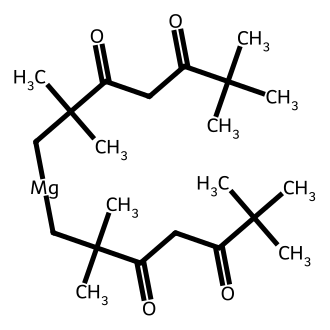 CC(C)(C)C(=O)CC(=O)C(C)(C)[CH2][Mg][CH2]C(C)(C)C(=O)CC(=O)C(C)(C)C